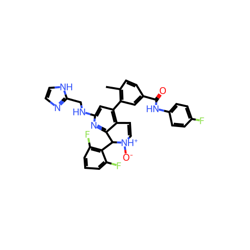 Cc1ccc(C(=O)Nc2ccc(F)cc2)cc1-c1cc(NCc2ncc[nH]2)nc2c1C=C[NH+]([O-])C2c1c(F)cccc1F